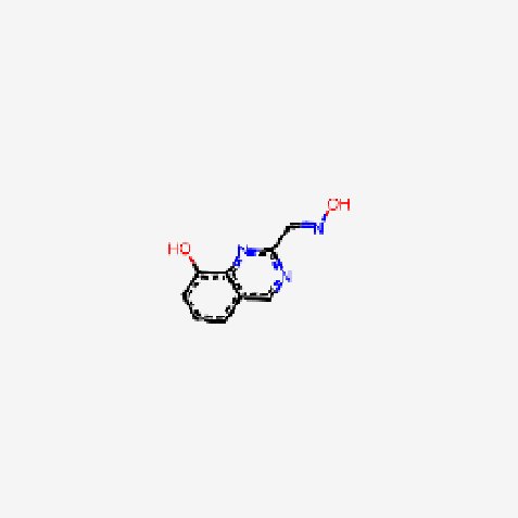 ON=Cc1ncc2cccc(O)c2n1